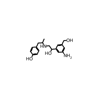 CC(Cc1ccc(O)cc1)NCC(O)c1cc(N)cc(CO)c1